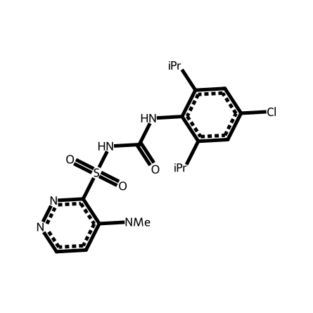 CNc1ccnnc1S(=O)(=O)NC(=O)Nc1c(C(C)C)cc(Cl)cc1C(C)C